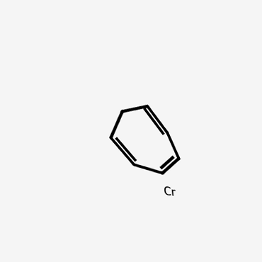 C1=CC=CCC=C1.[Cr]